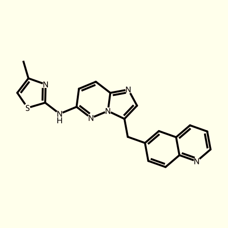 Cc1csc(Nc2ccc3ncc(Cc4ccc5ncccc5c4)n3n2)n1